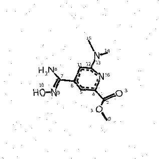 COC(=O)c1cc(/C(N)=N/O)cc(N(C)C)n1